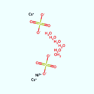 O.O.O.O.O.O.O=S(=O)([O-])[O-].O=S(=O)([O-])[O-].[Cs+].[Cs+].[Ni+2]